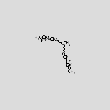 CCOc1ccc(CCC2CCC(OCCCCCC(C)CCCCCOC3CCC(COc4ccc(C)c(F)c4F)CC3)CC2)c(F)c1F